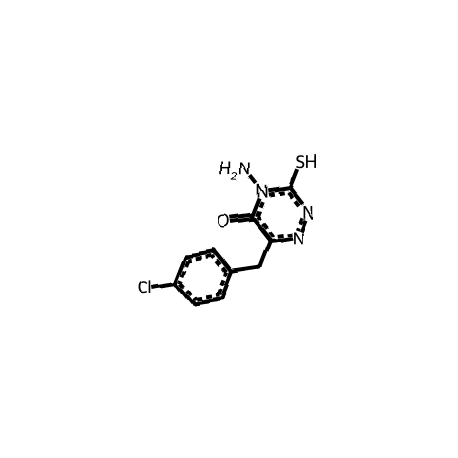 Nn1c(S)nnc(Cc2ccc(Cl)cc2)c1=O